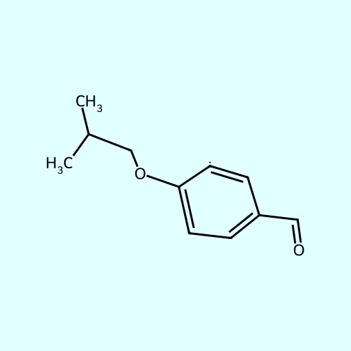 CC(C)COc1[c]cc(C=O)cc1